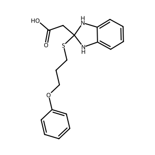 O=C(O)CC1(SCCCOc2ccccc2)Nc2ccccc2N1